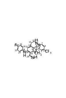 C=C(c1cc(C(F)(F)F)ccn1)C12CNCCC1=CC(Nc1ccc(F)cc1)=C(C=N)C2